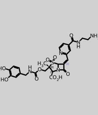 C[C@]1(COC(=O)NCc2ccc(O)c(O)c2)[C@H](C(=O)O)N2C(=O)/C(=C/c3cc(C(=O)NCCN)ccn3)C2S1(=O)=O